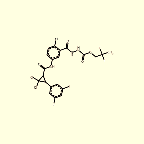 CC(F)(F)COC(=O)NNC(=O)c1cc(NC(=O)C2C(c3cc(Cl)cc(I)c3)C2(Cl)Cl)ccc1Cl